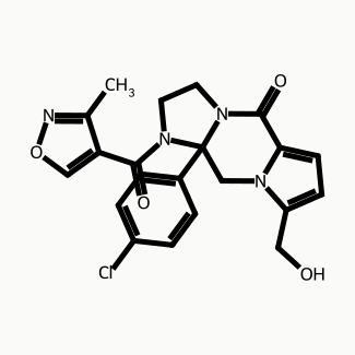 Cc1nocc1C(=O)N1CCN2C(=O)c3ccc(CO)n3CC12c1ccc(Cl)cc1